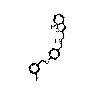 Fc1cccc(COc2ccc(CNCC3=CC4C=CC=C[C@H]4O3)cc2)c1